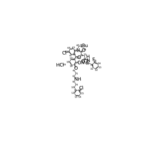 COc1c(OCCCNCCCc2ccccc2Cl)cccc1C1OC(CC(=O)NCc2ccccc2F)C(=O)N(CC(C)(C)C)c2ccc(Cl)cc21.Cl